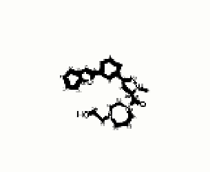 Cn1nc(-c2cccc(-c3cc4ccccc4o3)c2)cc1C(=O)N1CCCN(CCO)CC1